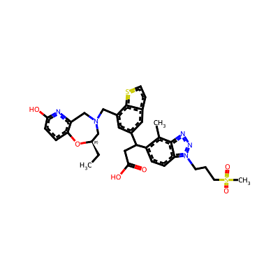 CC[C@@H]1CN(Cc2cc(C(CC(=O)O)c3ccc4c(nnn4CCCS(C)(=O)=O)c3C)cc3ccsc23)Cc2nc(O)ccc2O1